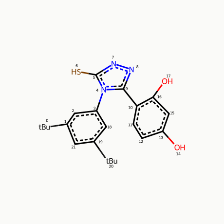 CC(C)(C)c1cc(-n2c(S)nnc2-c2ccc(O)cc2O)cc(C(C)(C)C)c1